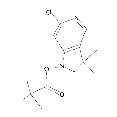 CC(C)(C)C(=O)ON1CC(C)(C)c2cnc(Cl)cc21